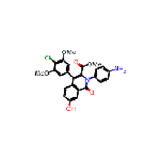 COC(=O)c1c(-c2cc(OC)c(Cl)c(OC)c2)c2ccc(O)cc2c(=O)n1-c1ccc(N)cc1